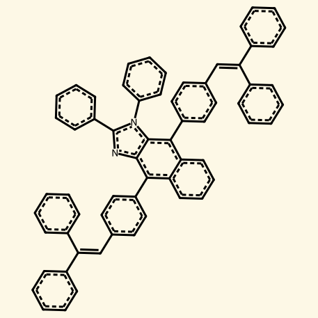 C(=C(c1ccccc1)c1ccccc1)c1ccc(-c2c3ccccc3c(-c3ccc(C=C(c4ccccc4)c4ccccc4)cc3)c3c2nc(-c2ccccc2)n3-c2ccccc2)cc1